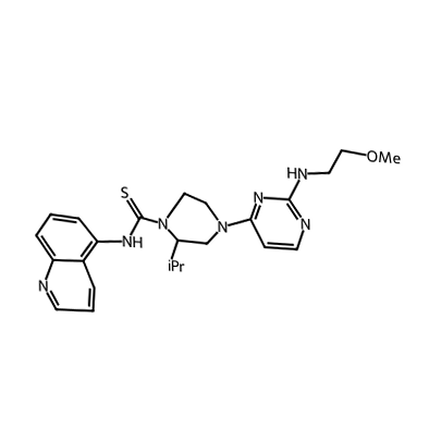 COCCNc1nccc(N2CCN(C(=S)Nc3cccc4ncccc34)C(C(C)C)C2)n1